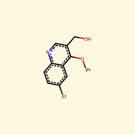 CCc1ccc2ncc(CO)c(OC(C)C)c2c1